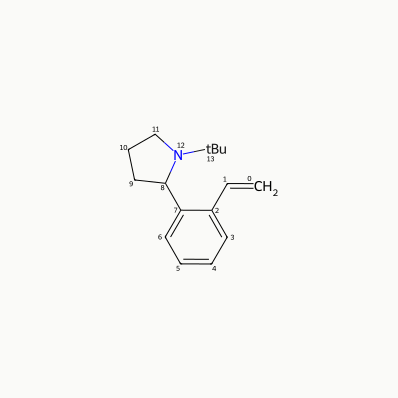 C=Cc1ccccc1C1CCCN1C(C)(C)C